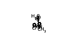 COC(=O)C=Cc1ccc2nc(C)n(Cc3ccccc3Cl)c2c1